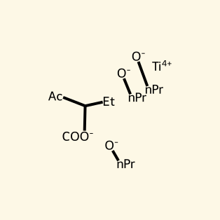 CCC(C(C)=O)C(=O)[O-].CCC[O-].CCC[O-].CCC[O-].[Ti+4]